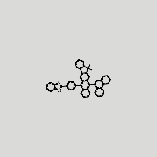 CC1(C)c2ccccc2-c2cc3c(-c4ccc(-c5nc6ccccc6o5)cc4)c4ccccc4c(-c4cc5ccccc5c5ccccc45)c3cc21